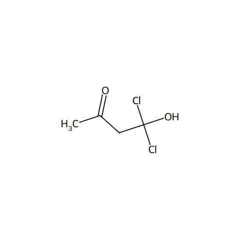 CC(=O)CC(O)(Cl)Cl